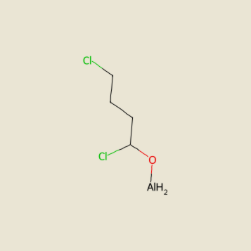 [AlH2][O]C(Cl)CCCCl